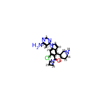 Cc1c(N)ncnc1-n1ccc2c(C3CCCN(C)C3)c(C(=O)N3CCC3)c(Cl)cc21